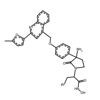 Cc1ccc(-c2cc(COc3ccc(C4(N)CCN(C(CC(C)C)C(=O)NO)C4=O)cc3)c3ccccc3n2)o1